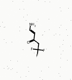 NC=CC(=O)CC(F)(F)F